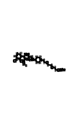 COCCOCCOCCN1CCC(NCc2nnc(-c3cccc(Cl)c3Cl)c(N)n2)CC1